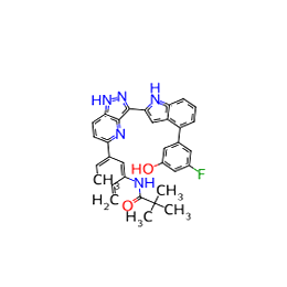 C=C/C(=C\C(=C/C)c1ccc2[nH]nc(-c3cc4c(-c5cc(O)cc(F)c5)cccc4[nH]3)c2n1)NC(=O)C(C)(C)C